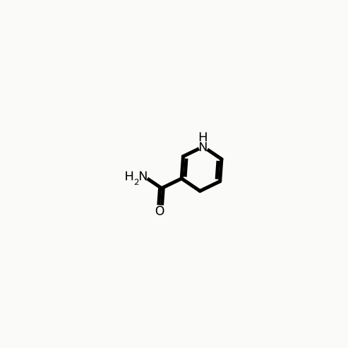 NC(=O)C1=CNC=CC1